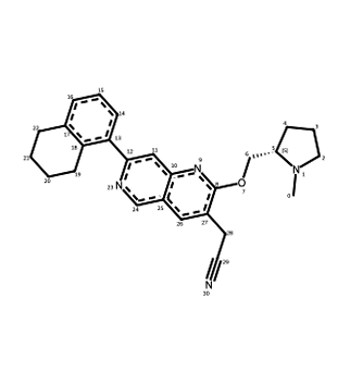 CN1CCC[C@H]1COc1nc2cc(-c3cccc4c3CCCC4)ncc2cc1CC#N